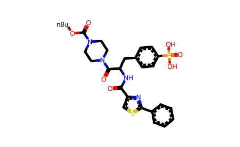 CCCCOC(=O)N1CCN(C(=O)C(Cc2ccc(P(=O)(O)O)cc2)NC(=O)c2csc(-c3ccccc3)n2)CC1